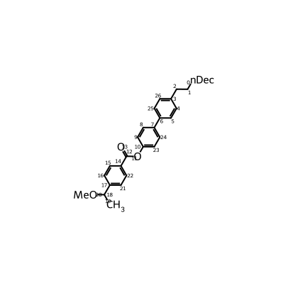 CCCCCCCCCCCCc1ccc(-c2ccc(OC(=O)c3ccc(C(C)OC)cc3)cc2)cc1